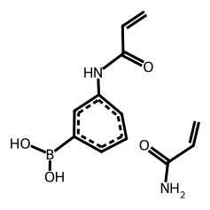 C=CC(=O)Nc1cccc(B(O)O)c1.C=CC(N)=O